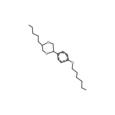 CCCCCCOc1ccc(C2COC(CCCCC)CO2)cc1